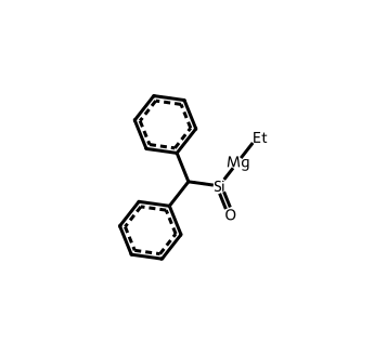 C[CH2][Mg][Si](=O)C(c1ccccc1)c1ccccc1